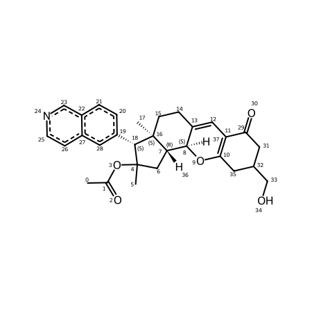 CC(=O)OC1(C)C[C@H]2[C@@H]3OC4=C(C=C3CC[C@]2(C)[C@H]1c1ccc2cnccc2c1)C(=O)CC(CO)C4